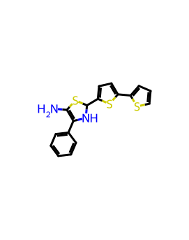 NC1=C(c2ccccc2)NC(c2ccc(-c3cccs3)s2)S1